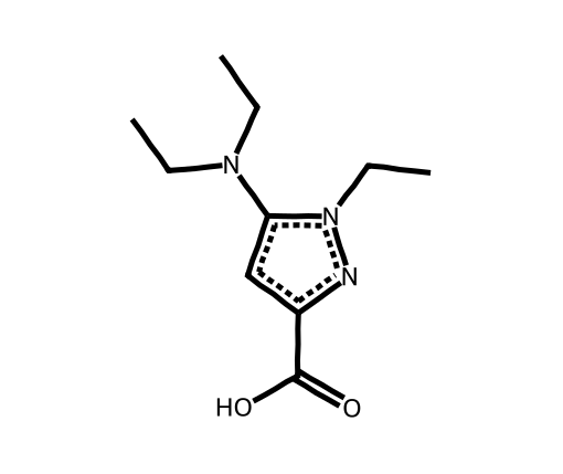 CCN(CC)c1cc(C(=O)O)nn1CC